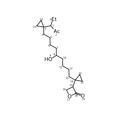 CCC(C(C)=O)C1(CCCCC(O)CCCCC2(C3COC3=O)CC2)CC1